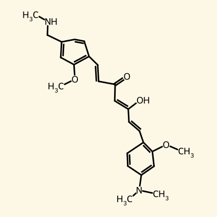 CNCc1ccc(/C=C/C(=O)/C=C(O)/C=C/c2ccc(N(C)C)cc2OC)c(OC)c1